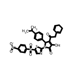 CC(C)c1ccc(C2C(C(=O)CC3=CCCC=C3)=C(O)C(=O)N2c2ncc(S(=O)(=O)c3ccc([N+](=O)[O-])cc3)s2)cc1